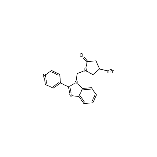 CCCC1CC(=O)N(Cn2c(-c3ccncc3)nc3ccccc32)C1